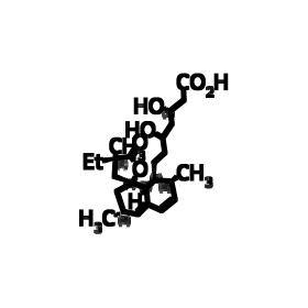 CC[C@]1(C)C[C@@]2(C[C@@H](C)C=C3C=C[C@H](C)[C@H](CCC(O)C[C@H](O)CC(=O)O)[C@H]32)OC1=O